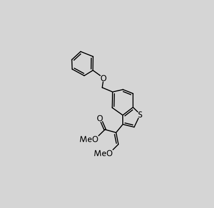 COC=C(C(=O)OC)c1csc2ccc(COc3ccccc3)cc12